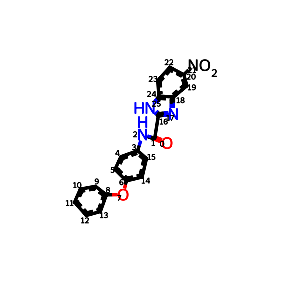 O=C(Nc1ccc(Oc2ccccc2)cc1)c1nc2cc([N+](=O)[O-])ccc2[nH]1